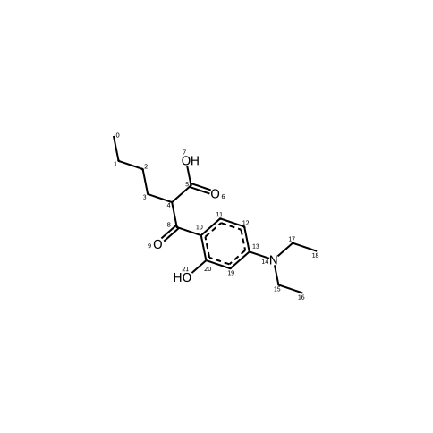 CCCCC(C(=O)O)C(=O)c1ccc(N(CC)CC)cc1O